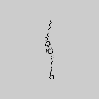 CCCCCCCCOc1ccc(-c2ncc(OCCCCCCCC3CCCC3)cn2)cc1